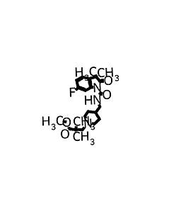 COC(=O)C(C)(C)CN1CCC(CNC(=O)N2C(=O)C(C)(C)c3ccc(F)cc32)CC1